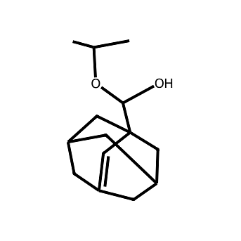 CC(C)OC(O)C12C=C3CC(CC(C3)C1)C2